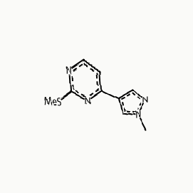 CSc1nccc(-c2cnn(C)c2)n1